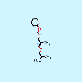 C=C(C)CO/C=C(\C)COCOC1CCCCO1